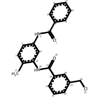 Cc1ccc(NC(=O)c2ccccc2)cc1NC(=O)c1cccc(CCl)c1